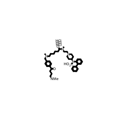 CNCCCC(=O)c1ccc(CN(C)CCCCCC(=O)N(C)CCN2CCC(N(C(=O)O)c3ccccc3-c3ccccc3)CC2)cc1.Cl.Cl.Cl